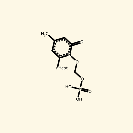 CCCCCCCc1cc(C)cc(=O)n1OCOP(=O)(O)O